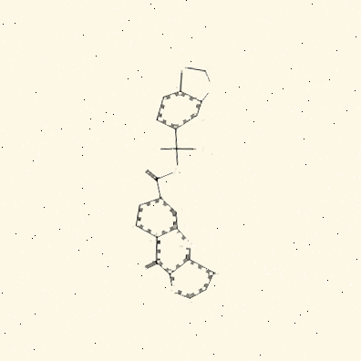 CC(C)(NC(=O)c1ccc2c(=O)c3ncccc3[nH]c2c1)c1ccc2c(c1)OCO2